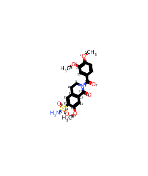 COc1ccc(C(=O)N2CCc3cc(S(N)(=O)=O)c(OC)cc3C2=O)cc1OC